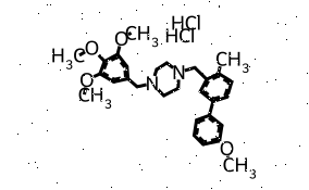 COc1cccc(-c2ccc(C)c(CN3CCN(Cc4cc(OC)c(OC)c(OC)c4)CC3)c2)c1.Cl.Cl